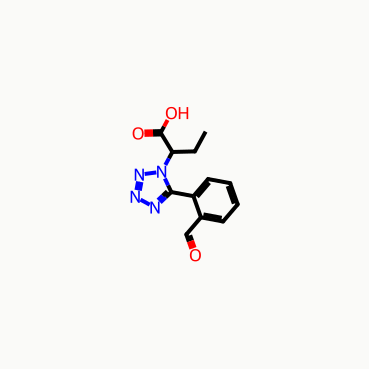 CCC(C(=O)O)n1nnnc1-c1ccccc1C=O